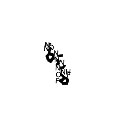 Cc1nc2c(-c3nnco3)cccc2n1-c1cnc(NC(=O)c2c(F)cccc2F)cn1